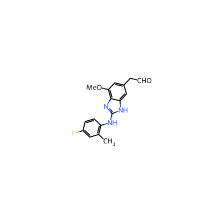 COc1cc(CC=O)cc2[nH]c(Nc3ccc(F)cc3C)nc12